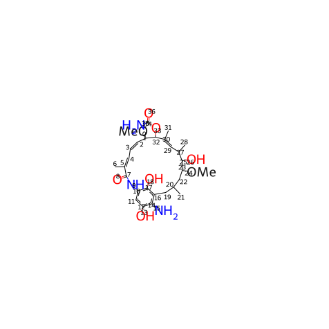 COC1/C=C\C=C(/C)C(=O)Nc2cc(O)c(N)c(c2O)CC(C)CC(OC)C(O)C(C)/C=C(\C)C1OC(N)=O